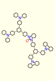 O=c1n(-c2ccc(-c3cc(-c4ccc(N(c5ccccc5)c5ccccc5)cc4)cc(-c4ccc(N(c5ccccc5)c5ccccc5)cc4)c3)cc2)c2ccccc2n1-c1ccc(-c2cc(-c3cccc(-n4c5ccccc5c5ccccc54)c3)cc(-c3cccc(-n4c5ccccc5c5ccccc54)c3)c2)cc1